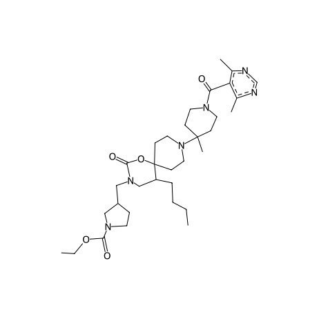 CCCCC1CN(CC2CCN(C(=O)OCC)C2)C(=O)OC12CCN(C1(C)CCN(C(=O)c3c(C)ncnc3C)CC1)CC2